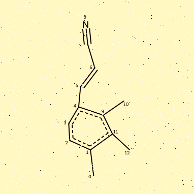 Cc1ccc(C=CC#N)c(C)c1C